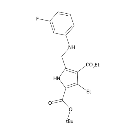 CCOC(=O)c1c(CNc2cccc(F)c2)[nH]c(C(=O)OC(C)(C)C)c1CC